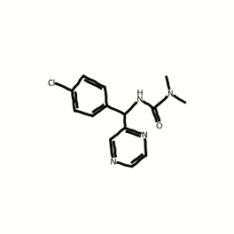 CN(C)C(=O)NC(c1ccc(Cl)cc1)c1cnccn1